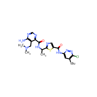 CC(NC(=O)c1ncnc(N)c1CN(C)C)c1ncc(C(=O)Nc2cc(C(C)(C)C)c(Cl)nn2)s1